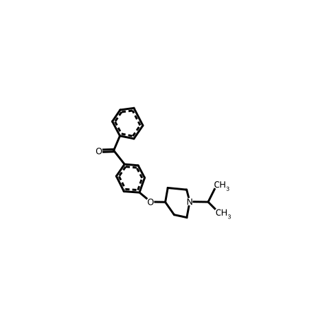 CC(C)N1CCC(Oc2ccc(C(=O)c3ccccc3)cc2)CC1